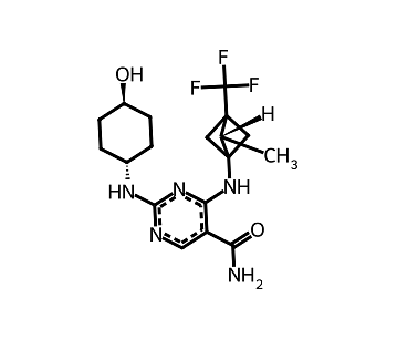 C[C@@H]1C2(Nc3nc(N[C@H]4CC[C@H](O)CC4)ncc3C(N)=O)CC1(C(F)(F)F)C2